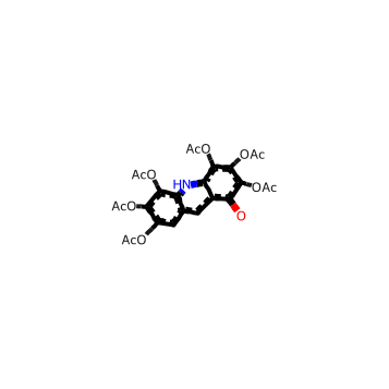 CC(=O)Oc1cc2cc3c(=O)c(OC(C)=O)c(OC(C)=O)c(OC(C)=O)c-3[nH]c2c(OC(C)=O)c1OC(C)=O